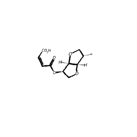 C[C@H]1CO[C@H]2[C@@H]1OC[C@H]2OC(=O)/C=C\C(=O)O